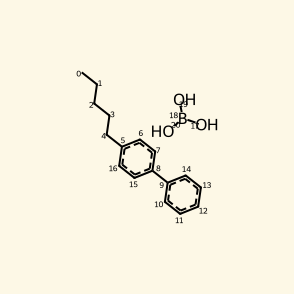 CCCCCc1ccc(-c2ccccc2)cc1.OB(O)O